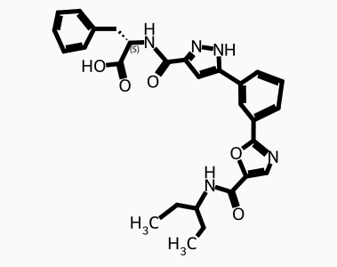 CCC(CC)NC(=O)c1cnc(-c2cccc(-c3cc(C(=O)N[C@@H](Cc4ccccc4)C(=O)O)n[nH]3)c2)o1